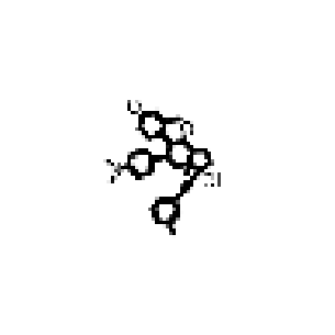 Cc1cccc(C#CC2(O)CCC3C4OCC5=CC(=O)CCC5=C4C(c4ccc(N(C)C)cc4)CC32C)c1